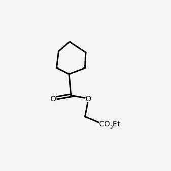 CCOC(=O)COC(=O)C1CCCCC1